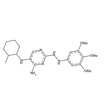 COc1cc(NNc2ncc(NC3CCCCC3C)c(N)n2)cc(OC)c1OC